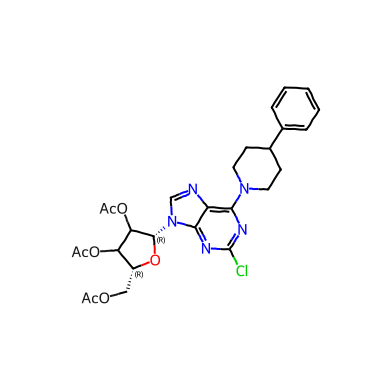 CC(=O)OC[C@H]1O[C@@H](n2cnc3c(N4CCC(c5ccccc5)CC4)nc(Cl)nc32)C(OC(C)=O)C1OC(C)=O